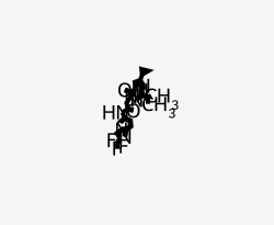 CC(C)c1nn(CC(=O)Nc2ccc3nc(C(F)(F)F)cn3c2)c(=O)c2cc(C3CC3)nn12